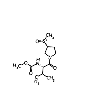 COC(=O)N[C@H](C(=O)N1CC[C@H]([S+](C)[O-])C1)C(C)C